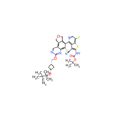 CC(C)(C)OC(=O)Nc1sc2c(F)cnc(-c3c4c(c5cnc(OC[C@H]6C[C@@H](O[Si](C)(C)C(C)(C)C)C6)nc5c3F)COC4)c2c1C#N